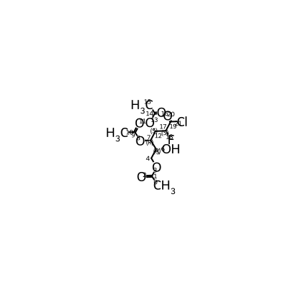 CC(=O)OC[C@@H](O)[C@@H](OC(C)=O)[C@H](OC(C)=O)[C@H](F)C(=O)Cl